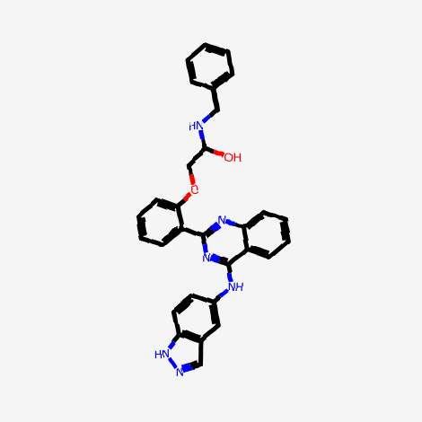 OC(COc1ccccc1-c1nc(Nc2ccc3[nH]ncc3c2)c2ccccc2n1)NCc1ccccc1